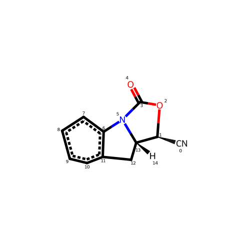 N#C[C@@H]1OC(=O)N2c3ccccc3C[C@@H]12